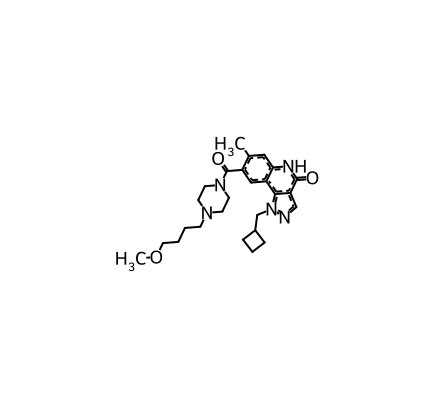 COCCCCN1CCN(C(=O)c2cc3c(cc2C)[nH]c(=O)c2cnn(CC4CCC4)c23)CC1